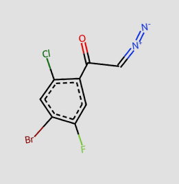 [N-]=[N+]=CC(=O)c1cc(F)c(Br)cc1Cl